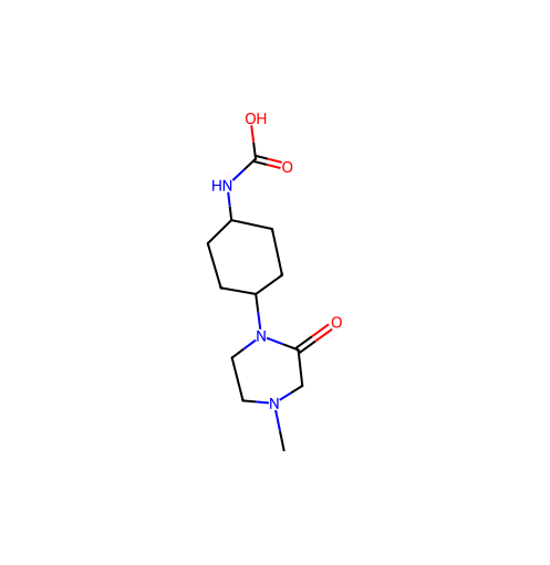 CN1CCN(C2CCC(NC(=O)O)CC2)C(=O)C1